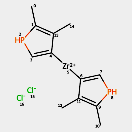 Cc1[pH]c[c]([Zr+2][c]2c[pH]c(C)c2C)c1C.[Cl-].[Cl-]